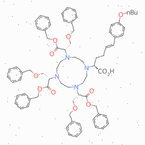 CCCCOc1ccc(/C=C/CC[C@@H](C(=O)O)N2CCN([C@@H](COCc3ccccc3)C(=O)OCc3ccccc3)CCN([C@@H](COCc3ccccc3)C(=O)OCc3ccccc3)CCN([C@@H](COCc3ccccc3)C(=O)OCc3ccccc3)CC2)cc1